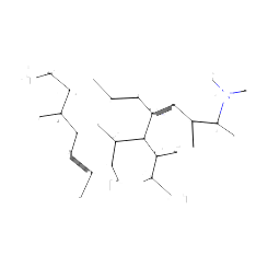 CC=CCC(C)[C@@H](CCC/C(=C/C(C)C(C)N(C)C)C(C(C)CC(C)C)C(C)C(CC)C(C)C)CC(C)C